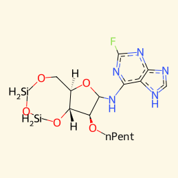 CCCCCO[C@@H]1C(Nc2nc(F)nc3nc[nH]c23)O[C@@H]2CO[SiH2]O[SiH2]O[C@@H]12